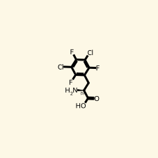 N[C@@H](Cc1c(F)c(Cl)c(F)c(Cl)c1F)C(=O)O